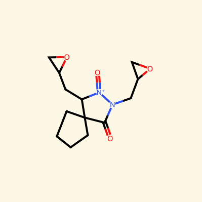 O=C1N(CC2CO2)[N+](=O)C(CC2CO2)C12CCCC2